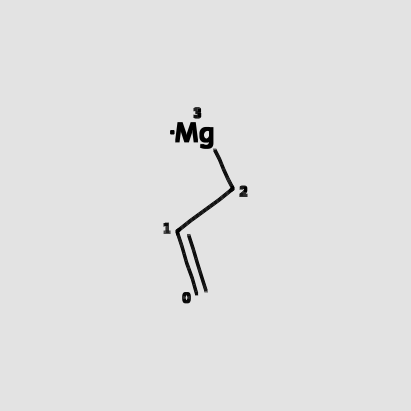 C=C[CH2][Mg]